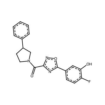 O=C(c1noc(-c2ccc(F)c(O)c2)n1)N1CCC(c2ccccc2)C1